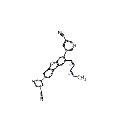 C/C=C\C=C/c1cc2c(cc1-c1cncc(C#N)c1)oc1cc(-c3cncc(C#N)c3)ccc12